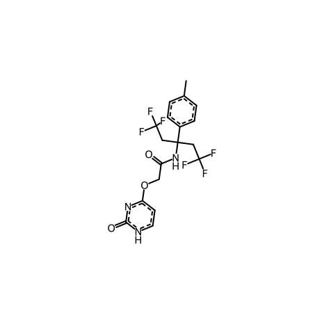 Cc1ccc(C(CC(F)(F)F)(CC(F)(F)F)NC(=O)COc2cc[nH]c(=O)n2)cc1